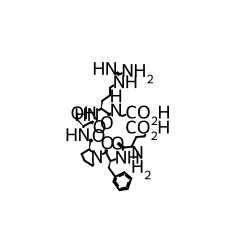 N=C(N)NCCC[C@H](NC(=O)[C@H](CO)NC(=O)[C@@H]1CCCN1C(=O)[C@H](Cc1ccccc1)NC(=O)[C@@H](N)CCC(=O)O)C(=O)NCC(=O)O